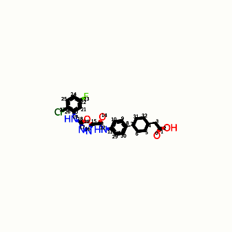 O=C(O)C[C@H]1CC[C@H](c2ccc(NC(=O)c3nnc(Nc4cc(F)ccc4Cl)o3)cc2)CC1